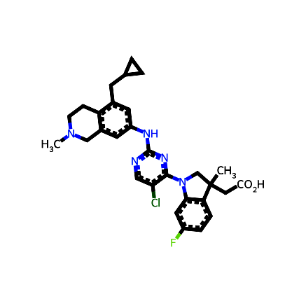 CN1CCc2c(CC3CC3)cc(Nc3ncc(Cl)c(N4CC(C)(CC(=O)O)c5ccc(F)cc54)n3)cc2C1